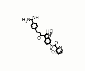 Cl.Cn1cc(C(=O)CCc2ccc(C(=N)N)cc2)c2ccc(N(CC(=O)O)C(=O)c3ccccn3)cc21